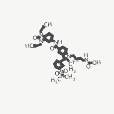 C#CCn1c(=O)n(CC#C)c2cc(NC(=O)c3ccc4c(c3)c(-c3cccc(S(=O)(=O)N(C)C)c3)c(C)n4C/C(F)=C/CNC(=O)O)ccc21